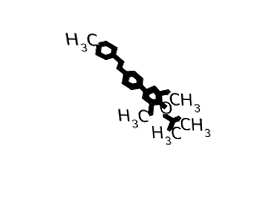 CCc1cc(-c2ccc(CCC3CCC(C)CC3)cc2)cc(CC)c1OCC(CC)CC